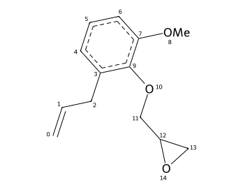 C=CCc1cccc(OC)c1OCC1CO1